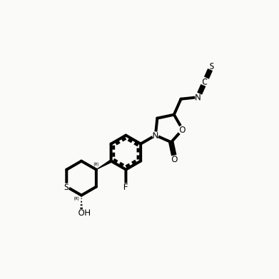 O=C1OC(CN=C=S)CN1c1ccc([C@@H]2CCS[C@@H](O)C2)c(F)c1